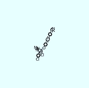 Cc1nccn1-c1ccc(N2CCN(c3ccc(OC[C@@H]4CO[C@@](Cn5cncn5)(c5ccc(Cl)cc5Cl)O4)cc3)CC2)cc1